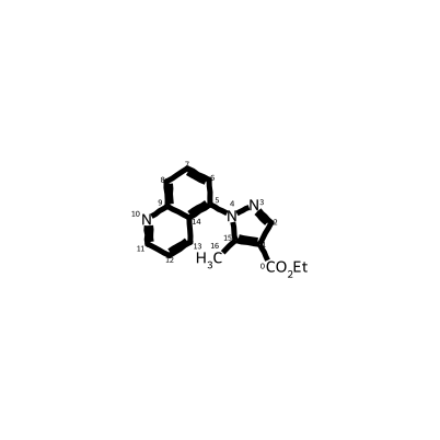 CCOC(=O)c1cnn(-c2cccc3ncccc23)c1C